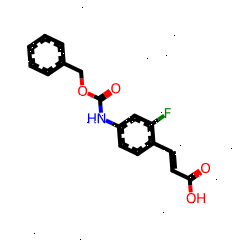 O=C(O)/C=C/c1ccc(NC(=O)OCc2ccccc2)cc1F